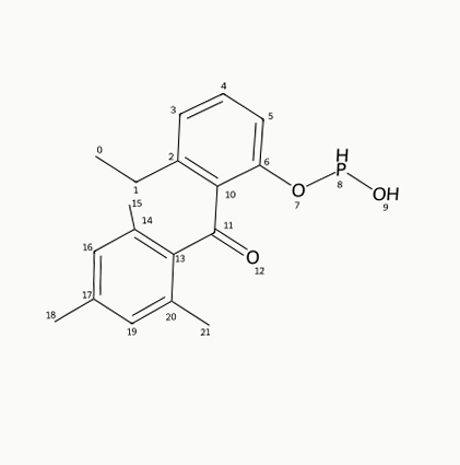 CCc1cccc(OPO)c1C(=O)c1c(C)cc(C)cc1C